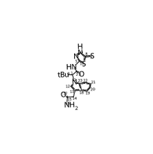 CC(C)(C)C(C(=O)Nc1n[nH]c(=S)s1)n1cc(CC(N)=O)c2ccccc21